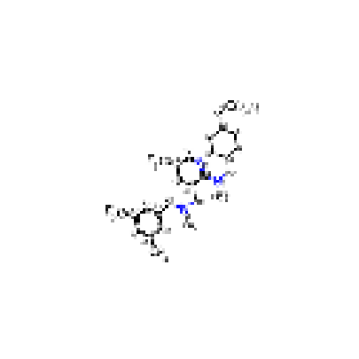 CCN(C[C@H]1CC[C@H](CC(=O)O)CC1)c1ncc(C(F)(F)F)cc1CN(Cc1cc(C(F)(F)F)cc(C(F)(F)F)c1)C(C)=O